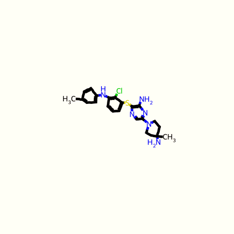 Cc1ccc(Nc2cccc(Sc3ncc(N4CCC(C)(N)CC4)nc3N)c2Cl)cc1